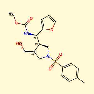 Cc1ccc(S(=O)(=O)N2C[C@@H](CO)[C@@H]([C@@H](NC(=O)OC(C)(C)C)c3ccco3)C2)cc1